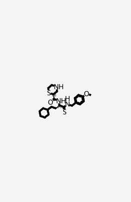 COc1ccc(CNC(=S)[C@@H](CCC2CCCCC2)NC(=O)[C@@H]2CNCCS2)cc1